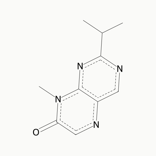 CC(C)c1ncc2ncc(=O)n(C)c2n1